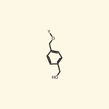 OCc1ccc(C[O][Y])cc1